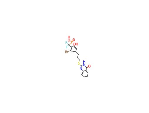 O=c1[nH]c(SCCCc2ccc(C(F)(F)P(=O)(O)O)c(Br)c2)nc2ccccc12